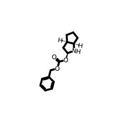 O=C(OCc1ccccc1)O[C@H]1C[C@H]2CCC[C@H]2N1